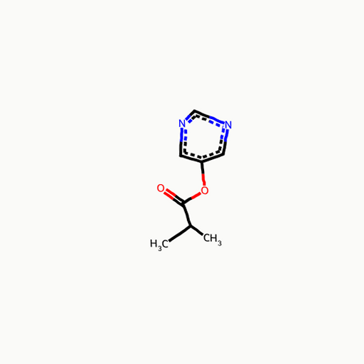 CC(C)C(=O)Oc1cncnc1